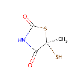 C[C@@]1(S)SC(=O)NC1=O